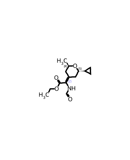 CCOC(=O)/C(NC=O)=C1\C[C@@H](C)O[C@H](C2CC2)C1